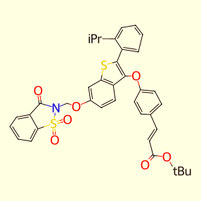 CC(C)c1ccccc1-c1sc2cc(OCN3C(=O)c4ccccc4S3(=O)=O)ccc2c1Oc1ccc(C=CC(=O)OC(C)(C)C)cc1